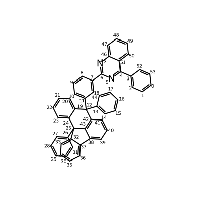 c1ccc(-c2nc(-c3cccc(C4(c5ccccc5)c5ccccc5C5(c6ccccc6)c6ccccc6-c6cccc4c65)c3)nc3ccccc23)cc1